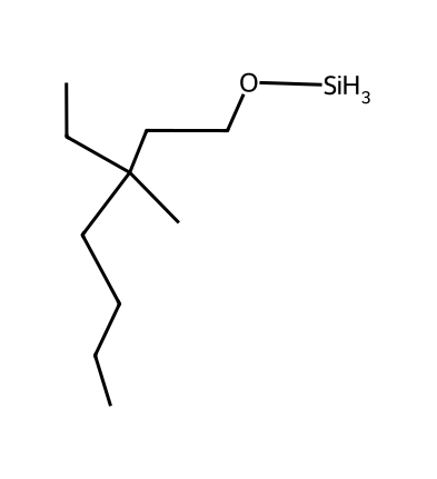 CCCCC(C)(CC)CCO[SiH3]